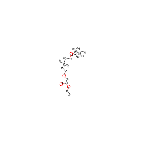 CCOC(=O)COCCC(C)(C)CCO[Si](C)(C)C(C)(C)C